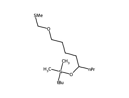 CCCC(CCCCOCSC)O[Si](C)(C)C(C)(C)C